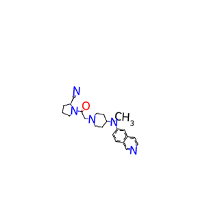 CN(c1ccc2cnccc2c1)C1CCN(CC(=O)N2CCC[C@H]2C#N)CC1